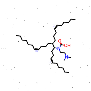 CCCCC/C=C\CCCC(CCC/C=C\CCCCCC)C(CC/C=C\CCCCC)N(CCN(C)C)C(=O)O